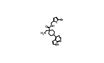 NCC1(C(=O)NCc2ccc(Br)s2)CCN(c2ncnc3[nH]ccc23)CC1